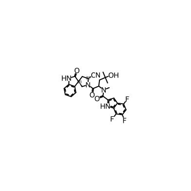 CN(C(=O)c1cc2c(F)cc(F)c(F)c2[nH]1)C(CC(C)(C)O)C(=O)N1C[C@]2(C[C@H]1C#N)C(=O)Nc1ccccc12